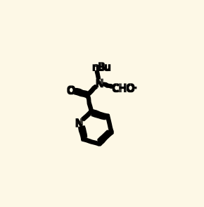 CCCCN([C]=O)C(=O)c1ccccn1